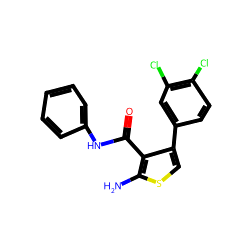 Nc1scc(-c2ccc(Cl)c(Cl)c2)c1C(=O)Nc1ccccc1